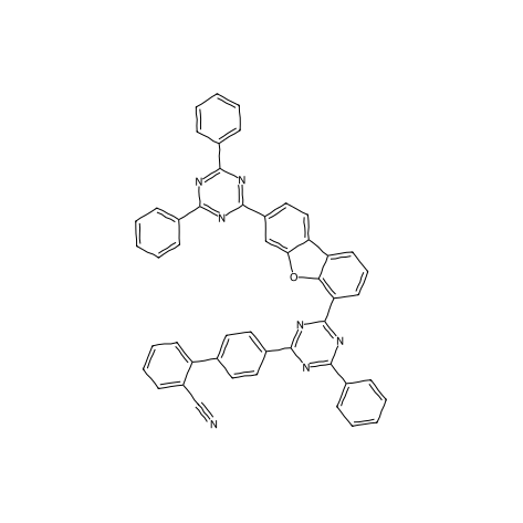 N#Cc1ccccc1-c1ccc(-c2nc(-c3ccccc3)nc(-c3cccc4c3oc3cc(-c5nc(-c6ccccc6)nc(-c6ccccc6)n5)ccc34)n2)cc1